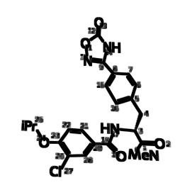 CNC(=O)[C@H](Cc1ccc(-c2noc(=O)[nH]2)cc1)NC(=O)c1ccc(OC(C)C)c(Cl)c1